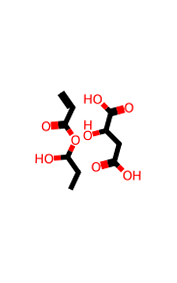 C=CC(=O)OC(O)CC.O=C(O)CC(O)C(=O)O